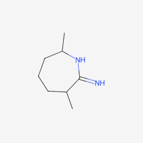 CC1CCCC(C)C(=N)N1